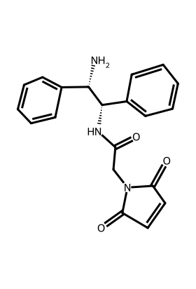 N[C@@H](c1ccccc1)[C@@H](NC(=O)CN1C(=O)C=CC1=O)c1ccccc1